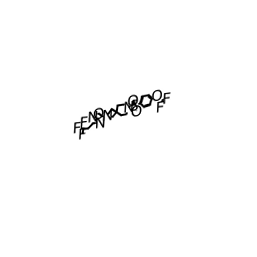 O=S(=O)(c1ccc(OC(F)F)cc1)N1CCC2(CC1)CN(c1nc(CC(F)(F)F)no1)C2